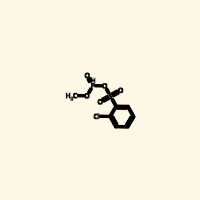 CO[PH](=O)OS(=O)(=O)c1ccccc1Cl